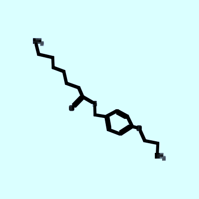 NCCCCCCC(=O)SCc1ccc(OCCN)cc1